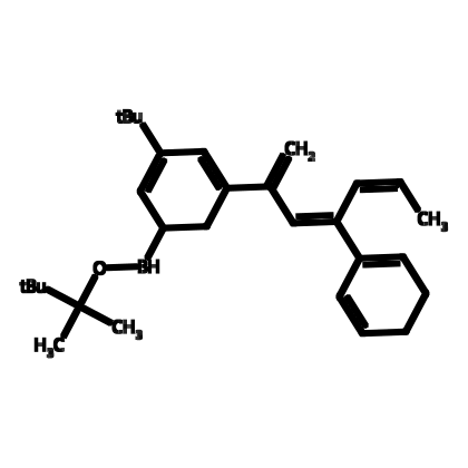 C=C(/C=C(\C=C/C)C1=CCCC=C1)C1=CC(C(C)(C)C)=CC(BOC(C)(C)C(C)(C)C)C1